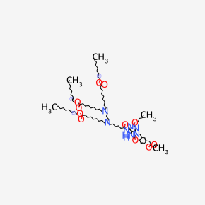 CCCCCC/C=C/COC(=O)CCCCCCCCN(CCCCCCCCC(=O)OC/C=C/CCCCCC)CCCN(CCCCCCCCC(=O)OC/C=C/CCCCCC)CCCCCC(=O)Nc1nc(OCCCC)nc2c1[nH]c(=O)n2Cc1cccc(CC(=O)OC)c1